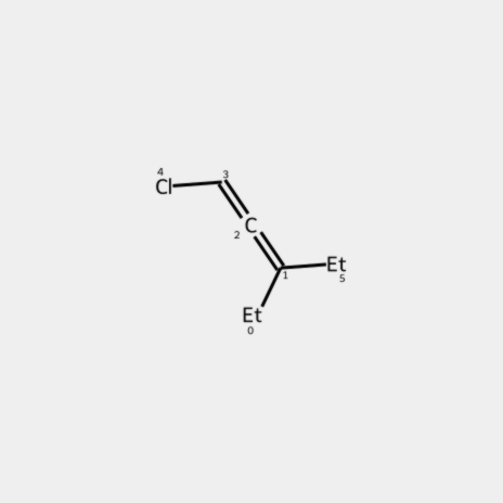 CCC(=C=CCl)CC